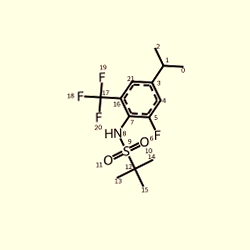 CC(C)c1cc(F)c(NS(=O)(=O)C(C)(C)C)c(C(F)(F)F)c1